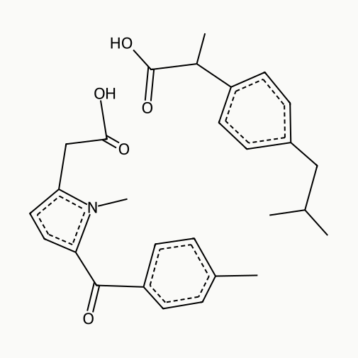 CC(C)Cc1ccc(C(C)C(=O)O)cc1.Cc1ccc(C(=O)c2ccc(CC(=O)O)n2C)cc1